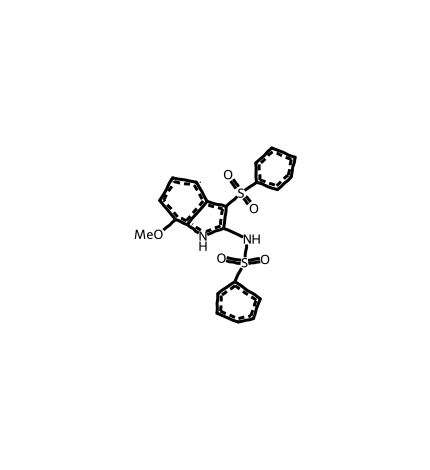 COc1cc[c]c2c(S(=O)(=O)c3ccccc3)c(NS(=O)(=O)c3ccccc3)[nH]c12